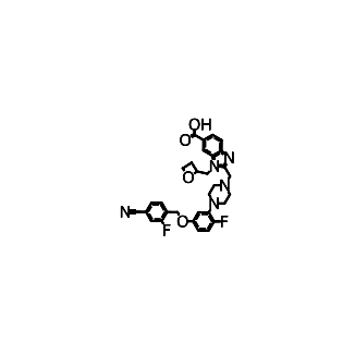 N#Cc1ccc(COc2ccc(F)c(N3CCN(Cc4nc5ccc(C(=O)O)cc5n4CC4CCO4)CC3)c2)c(F)c1